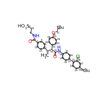 CC(c1ccc(C(=O)NCCS(=O)(=O)O)cc1)C(C(=O)Nc1ccc(-c2ccc(C(C)(C)C)cc2Cl)cc1)c1ccc(OCC(C)(C)C)cc1